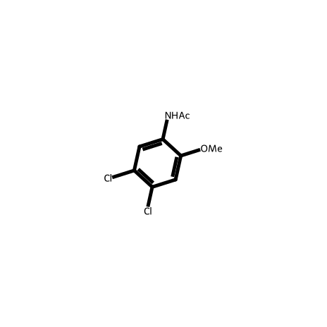 COc1cc(Cl)c(Cl)cc1NC(C)=O